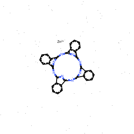 [Zn+2].c1ccc2c(c1)-c1nc3nc(nc4[n-]c(nc5[n-]c(nc-2n1)c1ccccc51)c1ccccc41)-c1ccccc1-3